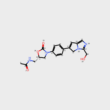 CC(=O)NC[C@H]1CN(c2ccc(C3=Cc4cnc(CO)n4C3)cc2)C(=O)O1